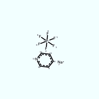 F[P-](F)(F)(F)(F)F.[Na+].c1ccncc1